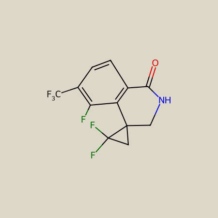 O=C1NCC2(CC2(F)F)c2c1ccc(C(F)(F)F)c2F